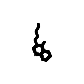 CCCCCc1cnc2ccccc2c1C